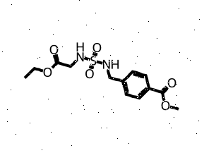 CCOC(=O)CNS(=O)(=O)NCc1ccc(C(=O)OC)cc1